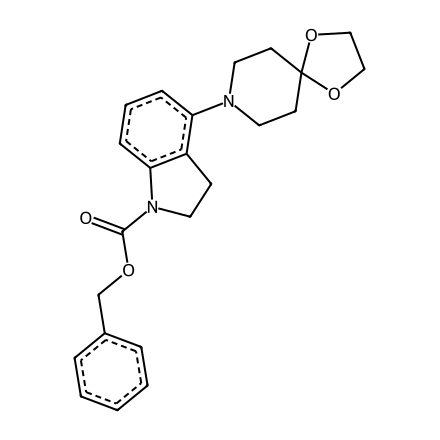 O=C(OCc1ccccc1)N1CCc2c(N3CCC4(CC3)OCCO4)cccc21